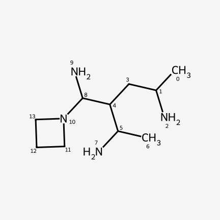 CC(N)CC(C(C)N)C(N)N1CCC1